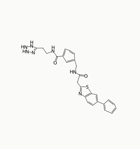 O=C(Cc1nc2ccc(-c3ccccc3)cc2s1)NCc1cccc(C(=O)NCCC2=NNNN2)c1